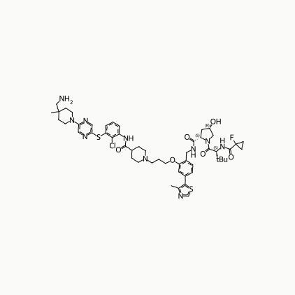 Cc1ncsc1-c1ccc(CNC(=O)[C@@H]2C[C@@H](O)CN2C(=O)[C@@H](NC(=O)C2(F)CC2)C(C)(C)C)c(OCCCN2CCC(C(=O)Nc3cccc(Sc4cnc(N5CCC(C)(CN)CC5)cn4)c3Cl)CC2)c1